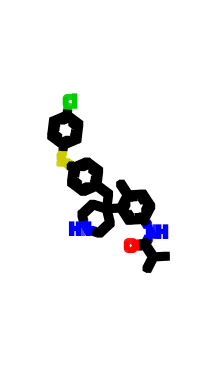 Cc1ccc(NC(=O)C(C)C)cc1C1(Cc2ccc(Sc3ccc(Cl)cc3)cc2)CCNCC1